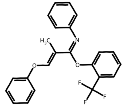 CC(=C\Oc1ccccc1)/C(=N\c1ccccc1)Oc1ccccc1C(F)(F)F